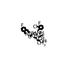 CC(C)(O)C[C@@H](COC(=O)Nc1cc2cc(F)ccc2cn1)N(CC(F)F)C(=O)NCc1cccc(F)c1Cl